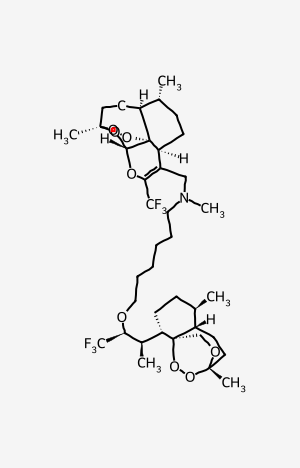 C[C@@H]([C@H](OCCCCCCN(C)CC1=C(C(F)(F)F)O[C@@H]2O[C@]3(C)CC[C@H]4[C@H](C)CC[C@@H]1[C@@]24OO3)C(F)(F)F)[C@@H]1CC[C@@H](C)[C@@H]2CC[C@@]3(C)OC[C@]12OO3